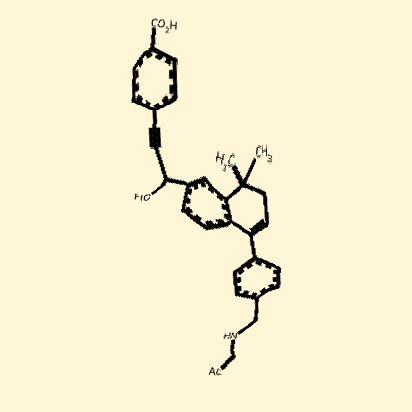 CC(=O)CNCc1ccc(C2=CCC(C)(C)c3cc(C(O)C#Cc4ccc(C(=O)O)cc4)ccc32)cc1